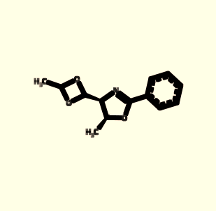 CC1OC([C@H]2N=C(c3ccccc3)O[C@H]2C)O1